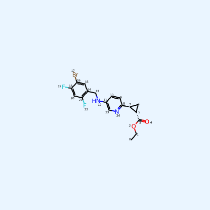 CCOC(=O)[C@H]1C[C@@H]1c1ccc(NCc2cc(Br)c(F)cc2F)cn1